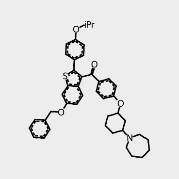 CC(C)Oc1ccc(-c2sc3cc(OCc4ccccc4)ccc3c2C(=O)c2ccc(OC3CCCC(N4CCCCCC4)C3)cc2)cc1